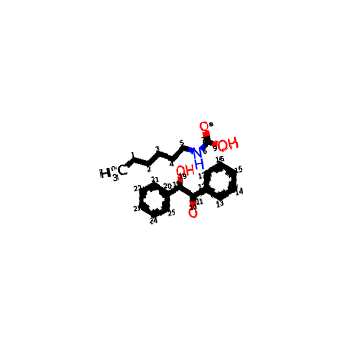 CCCCCCNC(=O)O.O=C(c1ccccc1)C(O)c1ccccc1